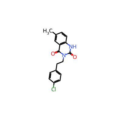 Cc1ccc2[nH]c(=O)n(CCc3ccc(Cl)cc3)c(=O)c2c1